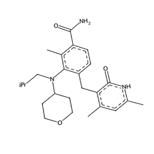 Cc1cc(C)c(Cc2ccc(C(N)=O)c(C)c2N(CC(C)C)C2CCOCC2)c(=O)[nH]1